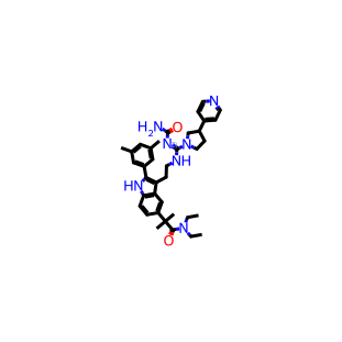 CCN(CC)C(=O)C(C)(C)c1ccc2[nH]c(-c3cc(C)cc(C)c3)c(CCN/C(=N/C(N)=O)N3CCC(c4ccncc4)C3)c2c1